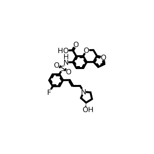 O=C(O)c1c(NS(=O)(=O)c2ccc(F)cc2C=CCN2CC[C@H](O)C2)ccc2c1OCc1occc1-2